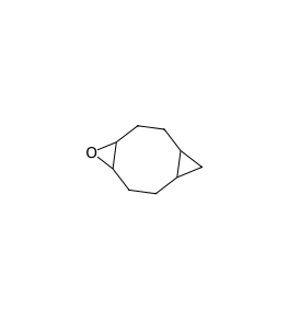 C1CC2OC2CCC2CC12